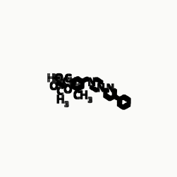 Cc1cc(CN2CCN(c3ccc(-c4ccccc4)cn3)CC2)cc(C)c1OC(C)(C)C(=O)O